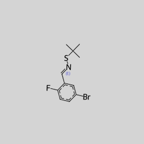 CC(C)(C)S/N=C/c1cc(Br)ccc1F